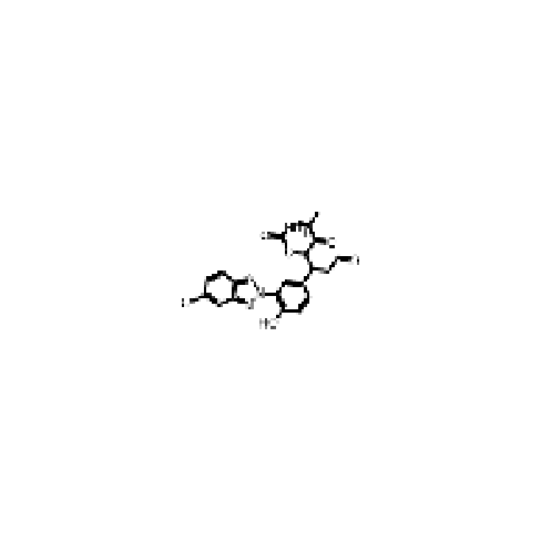 C=C(C)C(=O)C(OC(N)=O)C(CC=O)c1ccc(O)c(-n2nc3ccc(Cl)cc3n2)c1